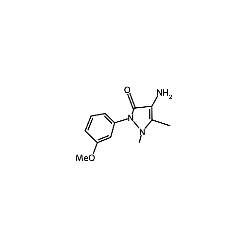 COc1cccc(-n2c(=O)c(N)c(C)n2C)c1